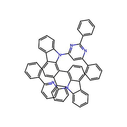 c1ccc(-c2cccc(-n3c4ccccc4c4cccc(-c5c(-c6ccccc6)ccc6c7ccccc7n(-c7cc(-c8ccccc8)nc(-c8ccccc8)n7)c56)c43)n2)cc1